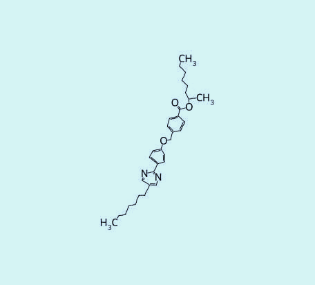 CCCCCCCc1cnc(-c2ccc(OCc3ccc(C(=O)OC(C)CCCCCC)cc3)cc2)nc1